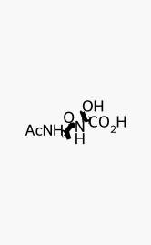 CC(=O)N[C@@H](C)C(=O)N[C@@H](CO)C(=O)O